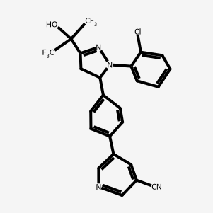 N#Cc1cncc(-c2ccc(C3CC(C(O)(C(F)(F)F)C(F)(F)F)=NN3c3ccccc3Cl)cc2)c1